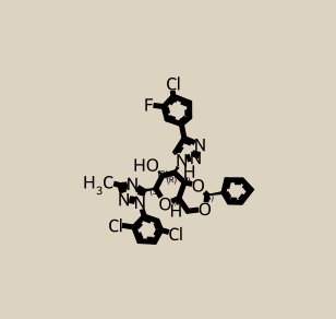 Cc1nc([C@@H]2O[C@@H]3CO[C@H](c4ccccc4)O[C@@H]3[C@H](n3cc(-c4ccc(Cl)c(F)c4)nn3)[C@H]2O)n(-c2cc(Cl)ccc2Cl)n1